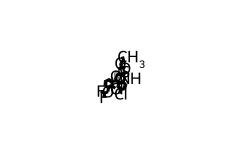 CCOC(=O)C[C@H]1O[C@H](c2cccc(OC(F)F)c2Cl)c2cc(Cl)ccc2NC1=S